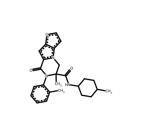 Cc1ccccc1N1C(=O)c2cc3occc3n2CC1(C)C(=O)NC1CCC(C)CC1